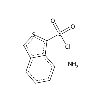 N.O=S(=O)(Cl)c1scc2ccccc12